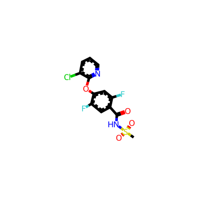 CS(=O)(=O)NC(=O)c1cc(F)c(Oc2ncccc2Cl)cc1F